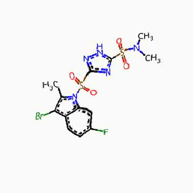 Cc1c(Br)c2ccc(F)cc2n1S(=O)(=O)c1n[nH]c(S(=O)(=O)N(C)C)n1